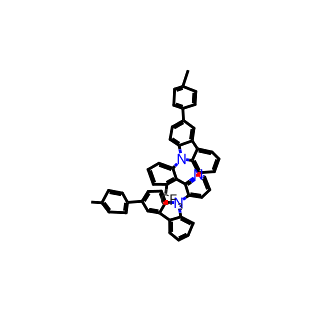 Cc1ccc(-c2ccc3c(c2)c2ccccc2n3-c2cccnc2-c2c(-n3c4ccccc4c4cc(-c5ccc(C)cc5)ccc43)cccc2C(F)(F)F)cc1